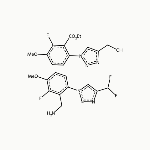 CCOC(=O)c1c(-n2cc(CO)nn2)ccc(OC)c1F.COc1ccc(-n2cc(C(F)F)nn2)c(CN)c1F